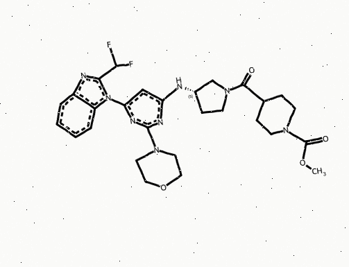 COC(=O)N1CCC(C(=O)N2CC[C@H](Nc3cc(-n4c(C(F)F)nc5ccccc54)nc(N4CCOCC4)n3)C2)CC1